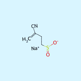 C=C(C#N)CCS(=O)[O-].[Na+]